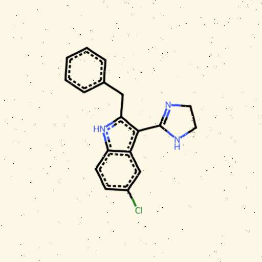 Clc1ccc2[nH]c(Cc3ccccc3)c(C3=NCCN3)c2c1